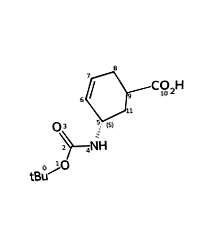 CC(C)(C)OC(=O)N[C@@H]1C=CCC(C(=O)O)C1